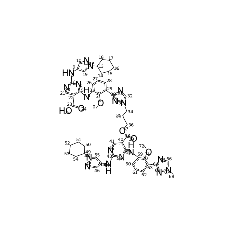 COc1c(Nc2nc(Nc3cnn(C4CCCCC4)c3)ncc2C(=O)O)cccc1-c1ncn(CCCOC(=O)c2cnc(Nc3cnn(C4CCCCC4)c3)nc2Nc2cccc(-c3ncn(C)n3)c2OC)n1